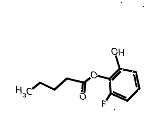 CCCCC(=O)Oc1c(O)cccc1F